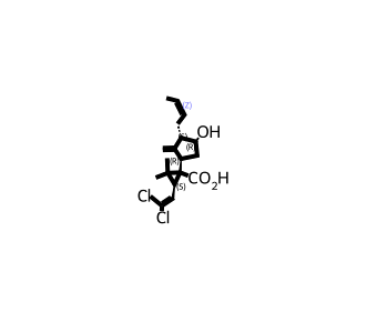 C=C1[C@H](C2(C(=O)O)[C@@H](C=C(Cl)Cl)C2(C)C)C[C@@H](O)[C@H]1C/C=C\C